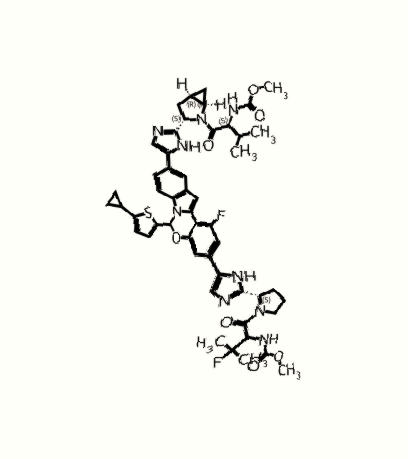 COC(=O)NC(C(=O)N1CCC[C@H]1c1ncc(-c2cc(F)c3c(c2)OC(c2ccc(C4CC4)s2)n2c-3cc3cc(-c4cnc([C@@H]5C[C@H]6C[C@H]6N5C(=O)[C@@H](NC(=O)OC)C(C)C)[nH]4)ccc32)[nH]1)C(C)(C)F